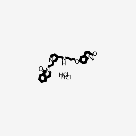 Cl.Cl.Cn1c(=O)ccc2cc(OCCCNCc3ccnc(CCn4ccc5ccccc5c4=O)c3)ccc21